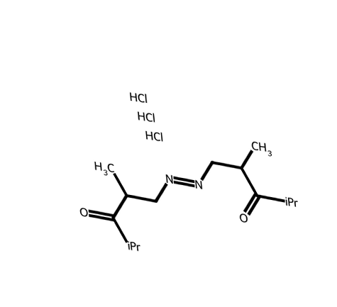 CC(C)C(=O)C(C)CN=NCC(C)C(=O)C(C)C.Cl.Cl.Cl